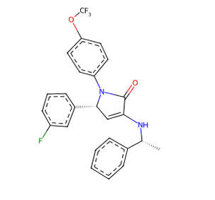 C[C@@H](NC1=C[C@H](c2cccc(F)c2)N(c2ccc(OC(F)(F)F)cc2)C1=O)c1ccccc1